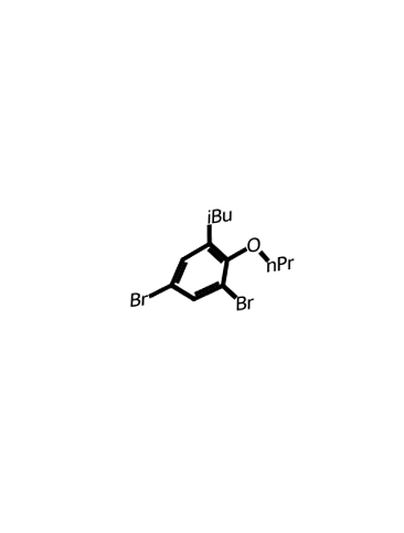 CCCOc1c(Br)cc(Br)cc1C(C)CC